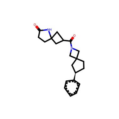 O=C1CCC2(CC(C(=O)N3CC4(CC[C@@H](c5ccccc5)C4)C3)C2)N1